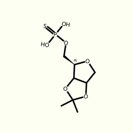 CC1(C)OC2CO[C@H](COP(O)(O)=S)C2O1